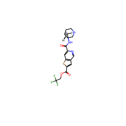 O=C(N[C@H]1CN2CCC1CC2)c1cc2sc(C(=O)OCC(F)(F)F)cc2cn1